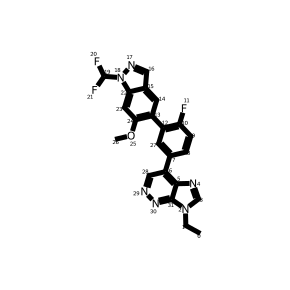 CCn1cnc2c(-c3ccc(F)c(-c4cc5cnn(C(F)F)c5cc4OC)c3)cnnc21